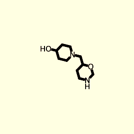 OC1CCN(CC2CCNCO2)CC1